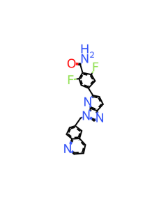 NC(=O)c1c(F)cc(-c2ccc3ncn(Cc4ccc5ncccc5c4)c3n2)cc1F